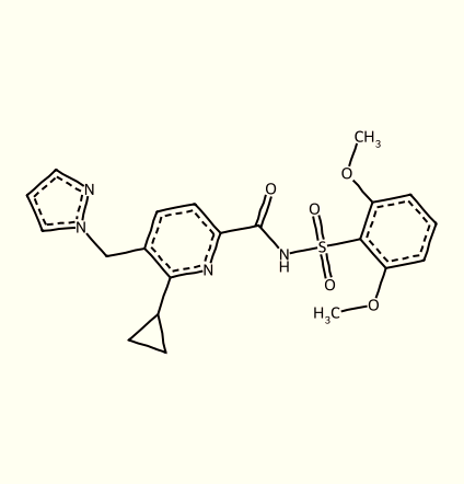 COc1cccc(OC)c1S(=O)(=O)NC(=O)c1ccc(Cn2cccn2)c(C2CC2)n1